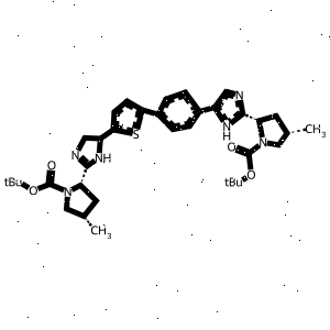 C[C@H]1C[C@@H](C2=NCC(c3ccc(-c4ccc(-c5cnc([C@@H]6C[C@H](C)CN6C(=O)OC(C)(C)C)[nH]5)cc4)s3)N2)N(C(=O)OC(C)(C)C)C1